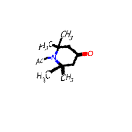 CC(=O)N1C(C)(C)CC(=O)CC1(C)C